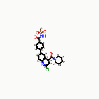 CS(=O)(=O)NC(=O)c1ccc(-c2ccc3nc(Cl)cc(C(=O)N4CCCCC4)c3c2)cc1